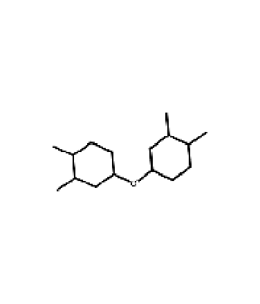 CC1CCC(OC2CCC(C)C(C)C2)CC1C